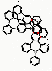 c1ccc(-c2ccccc2N(c2ccc3c(c2)-c2ccccc2N(c2ccccc2)c2ccccc2-3)c2ccc3c(c2)C2(c4ccccc4-c4ccccc4-3)c3ccccc3-c3cc4oc5ccccc5c4cc32)cc1